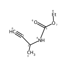 C#CC(C)NC(=O)OCC